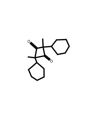 CC1(C2CCCCC2)C(=O)C(C)(C2CCCCC2)C1=O